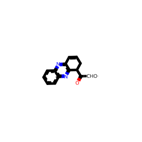 O=[C]C(=O)C1CC=Cc2nc3ccccc3nc21